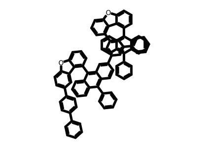 c1ccc(-c2ccc(-c3ccc4oc5cccc(-c6c7ccccc7c(-c7ccccc7)c7ccc(-c8cc(-c9ccccc9)cc(-c9cccc%10oc%11cccc(-c%12c%13ccccc%13c(-c%13ccccc%13)c%13ccccc%12%13)c%11c9%10)c8)cc67)c5c4c3)cc2)cc1